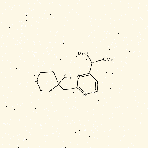 COC(OC)c1ccnc(CC2(C)CCOCC2)n1